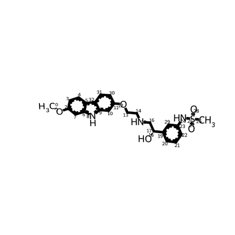 COc1ccc2c(c1)[nH]c1cc(OCCNC[C@@H](O)c3cccc(NS(C)(=O)=O)c3)ccc12